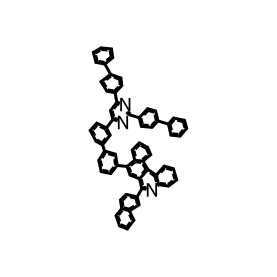 c1ccc(-c2ccc(-c3cc(-c4cccc(-c5cccc(-c6cc7c(-c8ccc9ccccc9c8)nc8ccccc8c7c7ccccc67)c5)c4)nc(-c4ccc(-c5ccccc5)cc4)n3)cc2)cc1